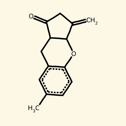 C=C1CC(=O)C2Cc3cc(C)ccc3OC12